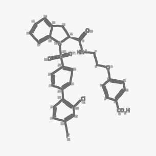 O=C(O)c1ccc(OCCNC(=O)[C@@H]2Cc3ccccc3N2S(=O)(=O)c2ccc(-c3ccc(F)cc3Cl)cc2)cc1